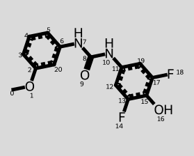 COc1cccc(NC(=O)Nc2cc(F)c(O)c(F)c2)c1